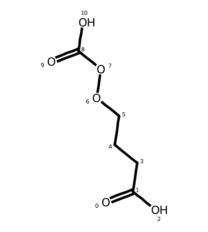 O=C(O)CCCOOC(=O)O